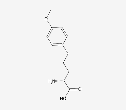 COc1ccc(CCC[C@@H](N)C(=O)O)cc1